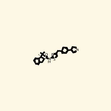 CC(C)(C)[C@]1(C)c2ccccc2C[C@H]1C(=O)Nc1nc(Cc2ccc(-c3ccncc3)cc2)cs1